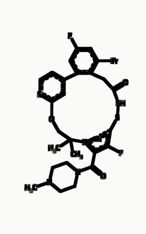 CC(C)c1cc(F)cc2c1CC(=O)NSc1nn(c(C(=O)N3CCN(C)CC3)c1F)C(C)(C)COc1cc-2ccn1